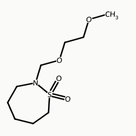 COCCOCN1CCCCCS1(=O)=O